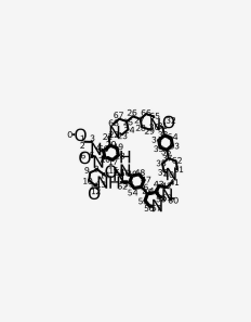 COCCn1c(=O)n(C2CCC(=O)NC2=O)c2cccc(CN3CCC(CC4CCN(C(=O)c5ccc(C6CCN(Cc7cc8c(-c9ccc%10[nH]ncc%10c9)ccnc8n7C)CC6)cc5)CC4)CC3)c21